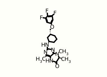 Cc1nc(N[C@@H]2CCC[C@@H](COc3cc(F)c(F)c(F)c3)C2)nc2c1NC(=O)[C@H](C)N2C